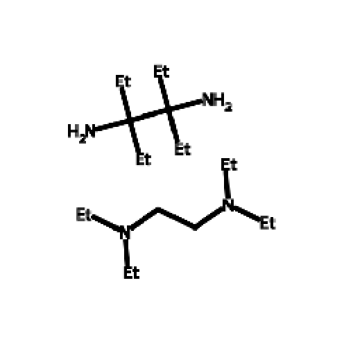 CCC(N)(CC)C(N)(CC)CC.CCN(CC)CCN(CC)CC